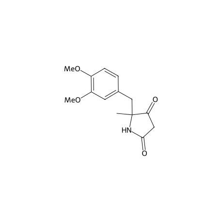 COc1ccc(CC2(C)NC(=O)CC2=O)cc1OC